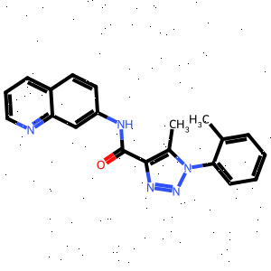 Cc1ccccc1-n1nnc(C(=O)Nc2ccc3cccnc3c2)c1C